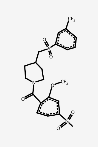 CS(=O)(=O)c1ccc(C(=O)N2CCC(CS(=O)(=O)c3cccc(C(F)(F)F)c3)CC2)c(OC(F)(F)F)c1